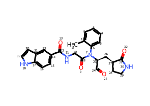 Cc1ccccc1N(C(=O)CNC(=O)c1ccc2[nH]ccc2c1)[C@H](C=O)C[C@@H]1CCNC1=O